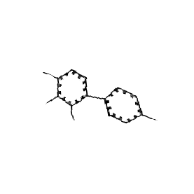 Cc1ccc(-c2ccc(I)cc2)c(F)c1F